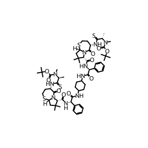 C[C@@H](C(=S)N[C@H]1CCS[C@H]2CC(C)(C)[C@@H](C(=O)N[C@H](C(=O)NC3CCC(NC(=O)[C@@H](NC(=O)[C@H]4N5C(=O)[C@@H](NC(=S)[C@H](C)N(C)C(=O)OC(C)(C)C)CCS[C@H]5CC4(C)C)c4ccccc4)CC3)c3ccccc3)N2C1=O)N(C)C(=O)OC(C)(C)C